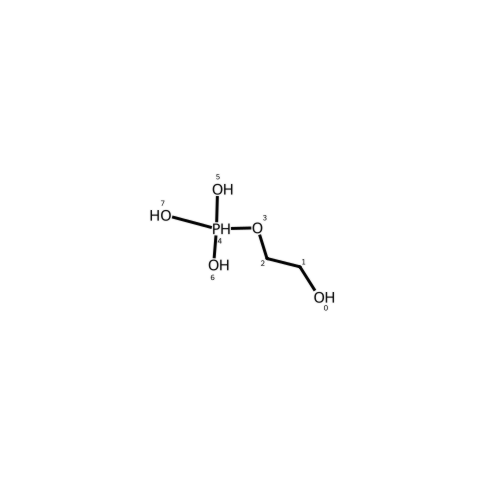 OCCO[PH](O)(O)O